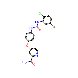 NC(=O)c1cc(Oc2ccc(NC(=O)Nc3cc(Br)ccc3Cl)cc2)ccn1